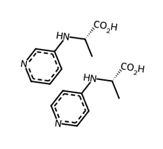 C[C@H](Nc1cccnc1)C(=O)O.C[C@H](Nc1ccncc1)C(=O)O